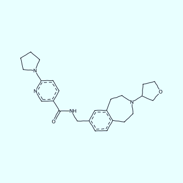 O=C(NCc1ccc2c(c1)CCN(C1CCOC1)CC2)c1ccc(N2CCCC2)nc1